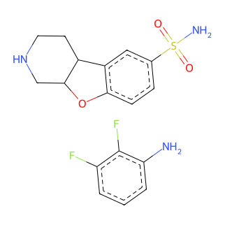 NS(=O)(=O)c1ccc2c(c1)C1CCNCC1O2.Nc1cccc(F)c1F